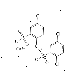 O=S(=O)([O-])c1cc(Cl)ccc1Cl.O=S(=O)([O-])c1cc(Cl)ccc1Cl.[Ca+2]